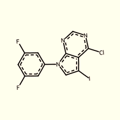 Fc1cc(F)cc(-n2cc(I)c3c(Cl)ncnc32)c1